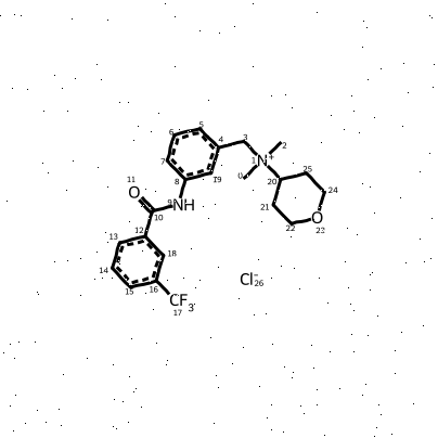 C[N+](C)(Cc1cccc(NC(=O)c2cccc(C(F)(F)F)c2)c1)C1CCOCC1.[Cl-]